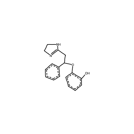 Oc1ccccc1OC(CC1=NCCN1)c1ccccc1